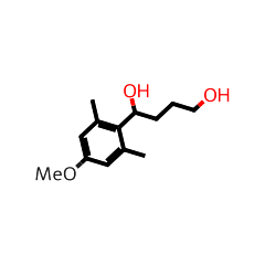 COc1cc(C)c(C(O)CCCO)c(C)c1